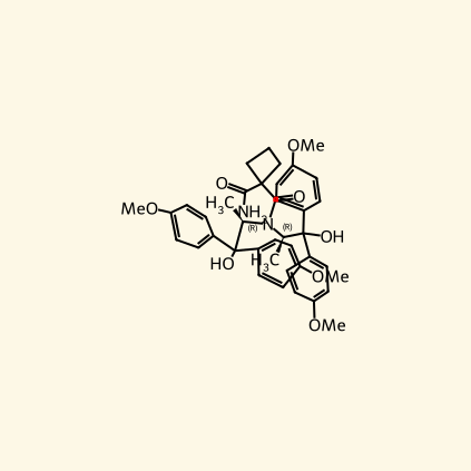 COc1ccc(C(O)(c2ccc(OC)cc2)[C@@H](C)N(C(=O)C2(C(N)=O)CCC2)[C@H](C)C(O)(c2ccc(OC)cc2)c2ccc(OC)cc2)cc1